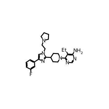 CCc1c(N)ncnc1N1CCC(c2nc(-c3cccc(F)c3)cn2CCN2CCCC2)CC1